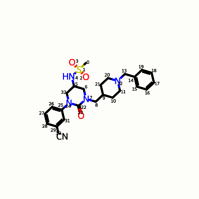 CS(=O)(=O)NC1CN(CC2CCN(Cc3ccccc3)CC2)C(=O)N(c2cccc(C#N)c2)C1